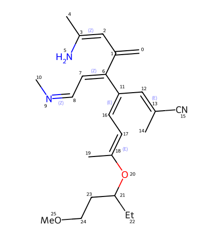 C=C(/C=C(/C)N)C(=C/C=N\C)/C(/C=C(\C)C#N)=C/C=C(\C)OC(CC)CCOC